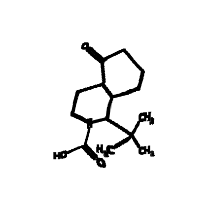 CC(C)(C)C1C2CCCC(=O)C2CCN1C(=O)O